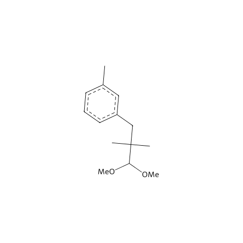 COC(OC)C(C)(C)Cc1cccc(C)c1